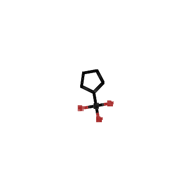 Br[Si](Br)(Br)C1CCCC1